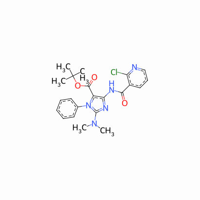 CN(C)c1nc(NC(=O)c2cccnc2Cl)c(C(=O)OC(C)(C)C)n1-c1ccccc1